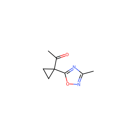 CC(=O)C1(c2nc(C)no2)CC1